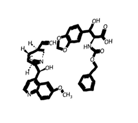 C=C[C@H]1C[N@]2CC[C@H]1C[C@@H]2[C@@H](O)c1ccnc2ccc(OC)cc12.O=C(N[C@H](C(=O)O)C(O)c1ccc2c(c1)OCO2)OCc1ccccc1